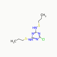 CCCSNc1nc(Cl)nc(NSCCC)n1